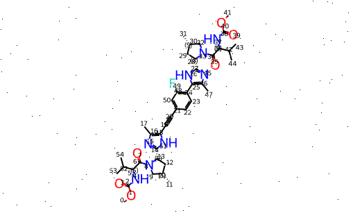 COC(=O)N[C@H](C(=O)N1C[C@@H](C)C[C@H]1c1nc(C)c(C#Cc2ccc(-c3[nH]c([C@@H]4C[C@H](C)CN4C(=O)[C@@H](NC(=O)OC)C(C)C)nc3C)c(F)c2)[nH]1)C(C)C